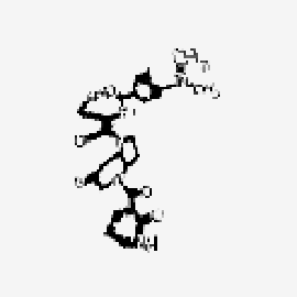 CC(C)CC(NC(=O)c1ccc(N(C)C)cc1)C(=O)N1CCC2C1C(=O)CN2C(=O)c1ccc[nH]c1=O